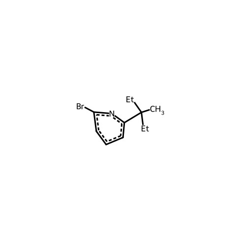 CCC(C)(CC)c1cccc(Br)n1